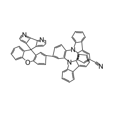 N#Cc1ccc2c(c1)c1ccccc1n2-c1ccc(-c2ccc3c(c2)C2(c4ccccc4O3)c3cccnc3-c3ncccc32)cc1-n1c2ccccc2c2ccccc21